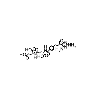 Nc1nc(N)c2c(CCc3ccc(C(=O)N[C@@H](CCC(=O)N[C@@H](CCC(=O)O)C(=O)O)C(=O)O)cc3)coc2n1